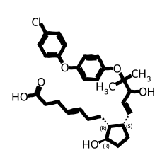 CC(C)(Oc1ccc(Oc2ccc(Cl)cc2)cc1)C(O)C=C[C@@H]1CC[C@@H](O)[C@@H]1CCC=CCCC(=O)O